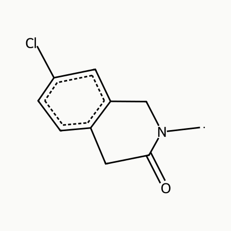 [CH2]N1Cc2cc(Cl)ccc2CC1=O